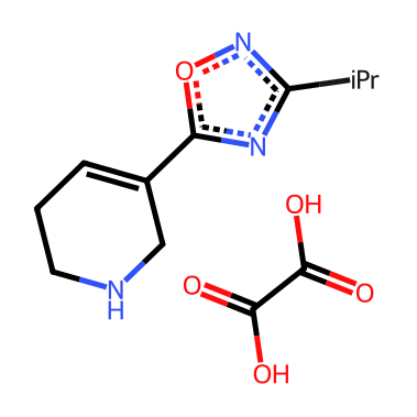 CC(C)c1noc(C2=CCCNC2)n1.O=C(O)C(=O)O